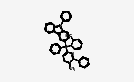 CC1C=CC=CC1[Si](C1=CCN(C)C(c2ccccc2)=N1)(c1ccccc1)c1ccc2c(c1)c1ccccc1n2-c1ccccc1